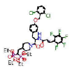 CCOP(=O)(OCC)C(CC1CCN(C(=O)C(Cc2ccc(OCc3c(Cl)cccc3Cl)cc2)NC(=O)/C=C/c2c(F)c(F)c(F)c(F)c2F)CC1)P(=O)(OCC)OCC